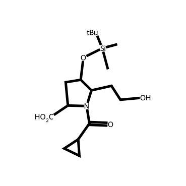 CC(C)(C)[Si](C)(C)OC1CC(C(=O)O)N(C(=O)C2CC2)C1CCO